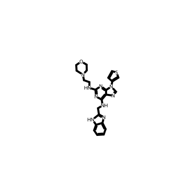 c1ccc2[nH]c(CNc3nc(NCCN4CCOCC4)nc4c3ncn4-c3ccsc3)nc2c1